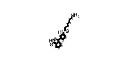 NCCCCCCC(=O)Nc1cccc(-c2n[nH]c(=O)c3ccccc23)c1